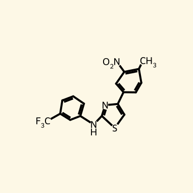 Cc1ccc(-c2csc(Nc3cccc(C(F)(F)F)c3)n2)cc1[N+](=O)[O-]